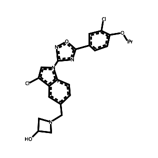 CC(C)Oc1ccc(-c2nc(-n3cc(Cl)c4cc(CN5CC(O)C5)ccc43)no2)cc1Cl